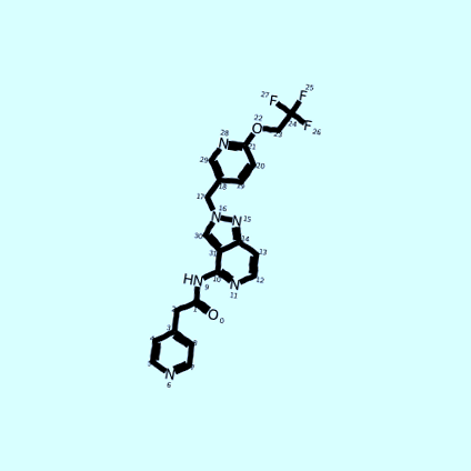 O=C(Cc1ccncc1)Nc1nccc2nn(Cc3ccc(OCC(F)(F)F)nc3)cc12